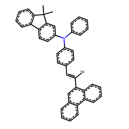 [2H]/C(=C\c1ccc(N(c2ccccc2)c2ccc3c(c2)C(C)(C)c2ccccc2-3)cc1)c1cc2ccccc2c2ccccc12